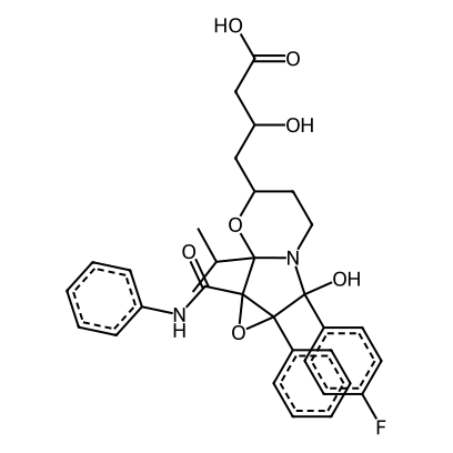 CC(C)C12OC(CC(O)CC(=O)O)CCN1C(O)(c1ccc(F)cc1)C1(c3ccccc3)OC21C(=O)Nc1ccccc1